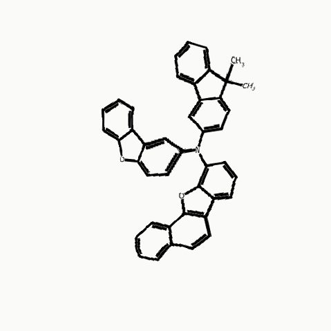 CC1(C)c2ccccc2-c2cc(N(c3ccc4oc5ccccc5c4c3)c3cccc4c3oc3c5ccccc5ccc43)ccc21